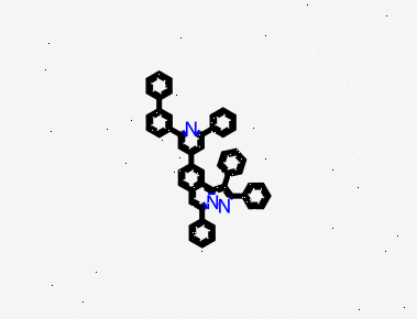 c1ccc(-c2cccc(-c3cc(-c4ccc5cc(-c6ccccc6)n6nc(-c7ccccc7)c(-c7ccccc7)c6c5c4)cc(-c4ccccc4)n3)c2)cc1